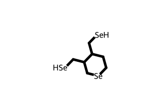 [SeH]CC1CC[Se]CC1C[SeH]